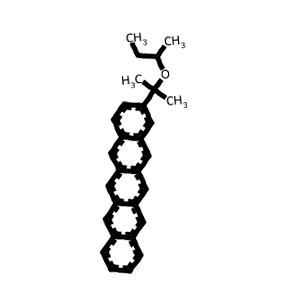 CCC(C)OC(C)(C)c1ccc2cc3cc4cc5ccccc5cc4cc3cc2c1